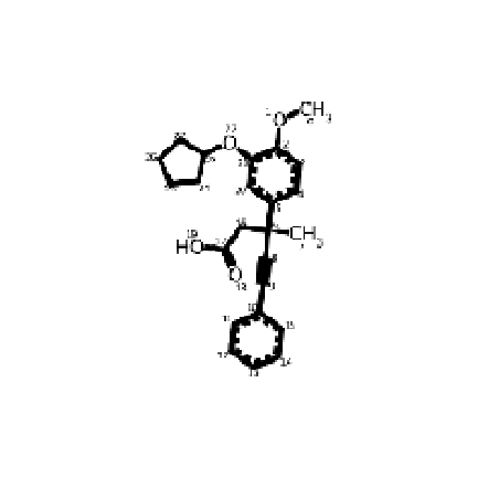 COc1ccc([C@](C)(C#Cc2ccccc2)CC(=O)O)cc1OC1CCCC1